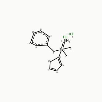 Cl.Cl.[CH3][Ti]([CH3])(=[SiH2])([CH2]c1ccccc1)[C]1=CC=CC1